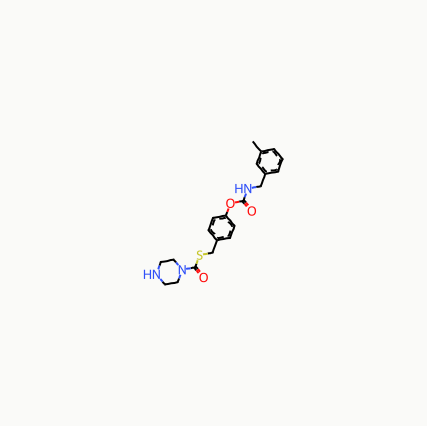 Cc1cccc(CNC(=O)Oc2ccc(CSC(=O)N3CCNCC3)cc2)c1